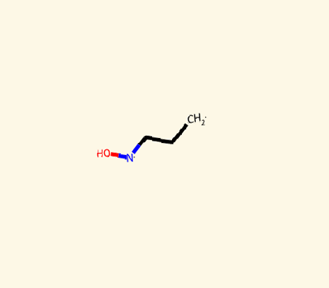 [CH2]CC[N]O